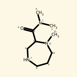 CN(C)C(=O)C1CNCCCN1C